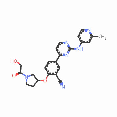 Cc1cc(Nc2nccc(-c3ccc(OC4CCN(C(=O)CO)C4)c(C#N)c3)n2)ccn1